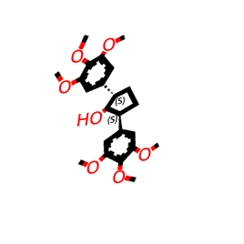 COc1cc([C@@H]2CC[C@@H](c3cc(OC)c(OC)c(OC)c3)C2O)cc(OC)c1OC